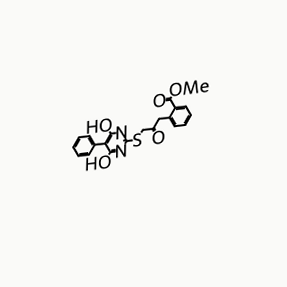 COC(=O)c1ccccc1CC(=O)CSc1nc(O)c(-c2ccccc2)c(O)n1